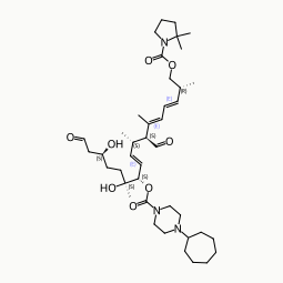 C/C(=C\C=C\[C@@H](C)COC(=O)N1CCCC1(C)C)[C@@H](C=O)[C@@H](C)/C=C/[C@H](OC(=O)N1CCN(C2CCCCCC2)CC1)[C@@](C)(O)CC[C@H](O)CC=O